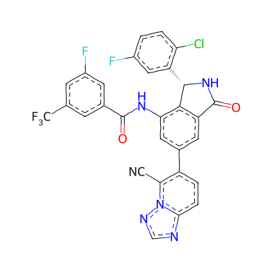 N#Cc1c(-c2cc(NC(=O)c3cc(F)cc(C(F)(F)F)c3)c3c(c2)C(=O)N[C@H]3c2cc(F)ccc2Cl)ccc2ncnn12